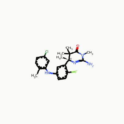 Cc1ccc(Cl)cc1Nc1ccc(F)c([C@@]2(C)N=C(N)N(C)C(=O)C2(C)C)c1